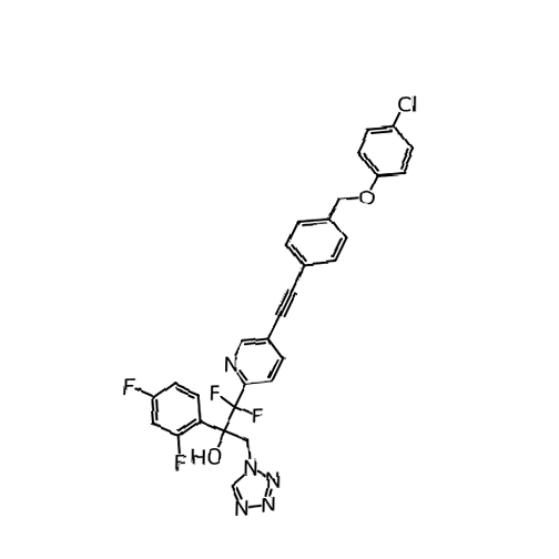 OC(Cn1cnnn1)(c1ccc(F)cc1F)C(F)(F)c1ccc(C#Cc2ccc(COc3ccc(Cl)cc3)cc2)cn1